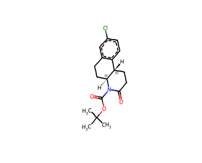 CC(C)(C)OC(=O)N1C(=O)CC[C@H]2c3ccc(Cl)cc3CC[C@@H]21